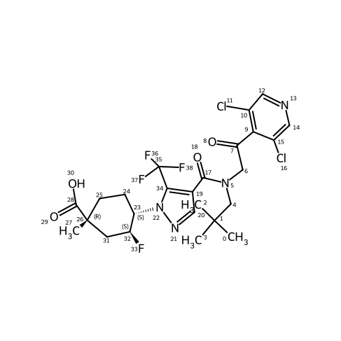 CC(C)(C)CN(CC(=O)c1c(Cl)cncc1Cl)C(=O)c1cnn([C@H]2CC[C@@](C)(C(=O)O)C[C@@H]2F)c1C(F)(F)F